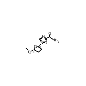 CO[C@@H]1CC[C@H](n2cnc(C(N)=O)n2)O1